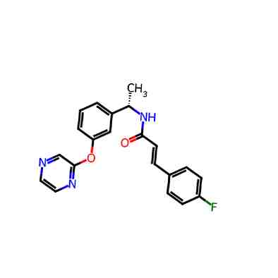 C[C@H](NC(=O)/C=C/c1ccc(F)cc1)c1cccc(Oc2cnccn2)c1